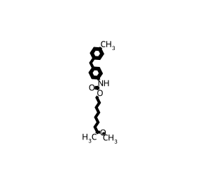 COC(C)CCCCCCCOC(=O)Nc1ccc(Cc2ccc(C)cc2)cc1